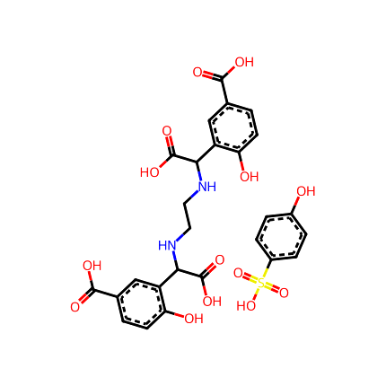 O=C(O)c1ccc(O)c(C(NCCNC(C(=O)O)c2cc(C(=O)O)ccc2O)C(=O)O)c1.O=S(=O)(O)c1ccc(O)cc1